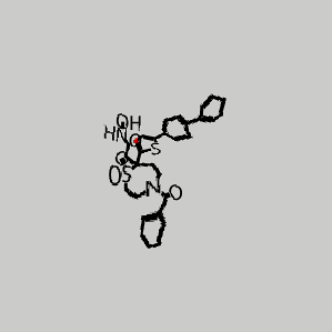 O=C(CC1(c2ccc(-c3ccc(-c4ccccc4)cc3)s2)CCN(C(=O)c2ccccc2)CCS1(=O)=O)NO